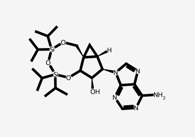 CC(C)[Si]1(C(C)C)OC[C@@]23C[C@@H]2[C@@H](n2cnc4c(N)ncnc42)[C@@H](O)C3O[Si](C(C)C)(C(C)C)O1